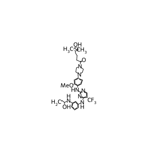 C=CC(O)Nc1cccc(Nc2nc(Nc3ccc(N4CCN(C(=O)CCC[Si](C)(C)O)CC4)cc3OC)ncc2C(F)(F)F)c1